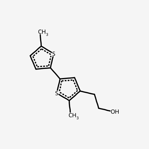 Cc1ccc(-c2cc(CCO)c(C)s2)s1